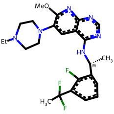 CCN1CCN(c2cc3c(N[C@H](C)c4cccc(C(C)(F)F)c4F)ncnc3nc2OC)CC1